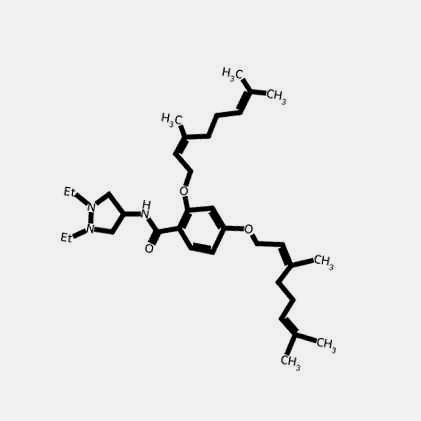 CCN1CC(NC(=O)c2ccc(OCC=C(C)CCC=C(C)C)cc2OCC=C(C)CCC=C(C)C)CN1CC